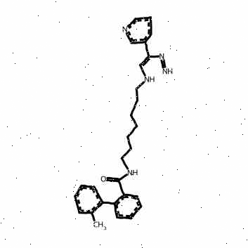 Cc1ccccc1-c1ccccc1C(=O)NCCCCCCCN/C=C(\N=N)c1cccnc1